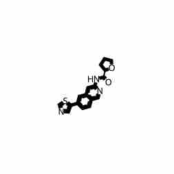 O=C(Nc1cc2cc(-c3cncs3)ccc2cn1)[C@H]1CCCO1